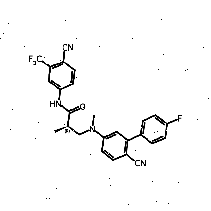 C[C@H](CN(C)c1ccc(C#N)c(-c2ccc(F)cc2)c1)C(=O)Nc1ccc(C#N)c(C(F)(F)F)c1